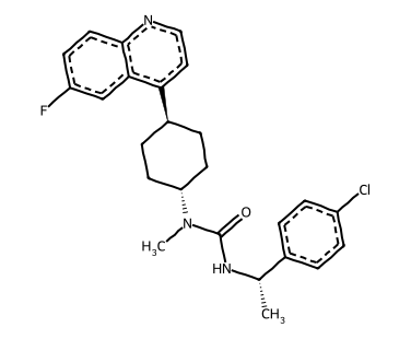 C[C@H](NC(=O)N(C)[C@H]1CC[C@H](c2ccnc3ccc(F)cc32)CC1)c1ccc(Cl)cc1